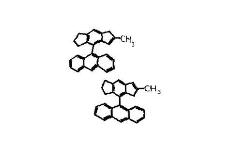 CC1=Cc2c(cc3c(c2-c2c4ccccc4cc4ccccc24)CCC3)C1.CC1=Cc2cc3c(c(-c4c5ccccc5cc5ccccc45)c2C1)CCC3